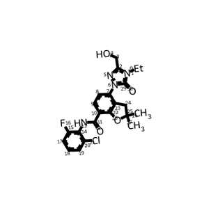 CCn1c(CO)nn(-c2ccc(C(=O)Nc3c(F)cccc3Cl)c3c2CC(C)(C)O3)c1=O